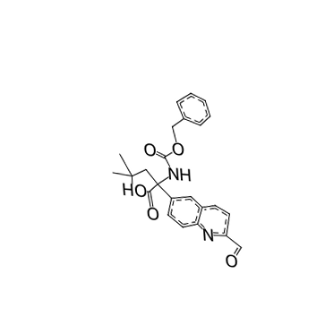 CC(C)(C)CC(NC(=O)OCc1ccccc1)(C(=O)O)c1ccc2nc(C=O)ccc2c1